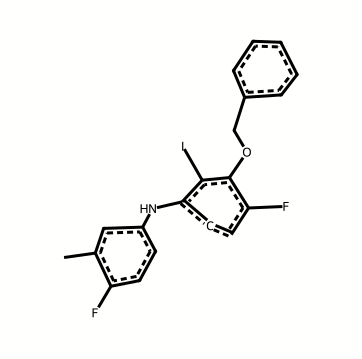 Cc1cc(Nc2ccc(F)c(OCc3ccccc3)c2I)ccc1F